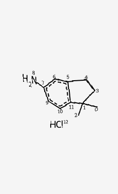 CC1(C)CCc2cc(N)ccc21.Cl